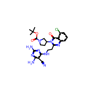 CC(C)(C)OC(=O)N1CCC(n2c(CCNc3nc(N)nc(N)c3C#N)nc3cccc(Cl)c3c2=O)C1